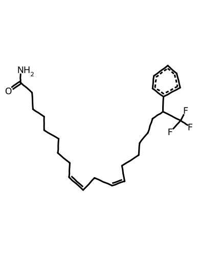 NC(=O)CCCCCCC/C=C\C/C=C\CCCCCC(c1ccccc1)C(F)(F)F